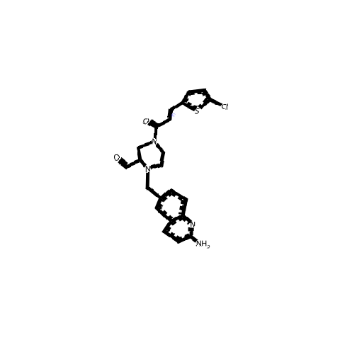 Nc1ccc2cc(CN3CCN(C(=O)/C=C/c4ccc(Cl)s4)CC3C=O)ccc2n1